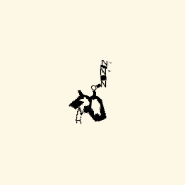 Cc1c[nH]c2cccc(ON=[N+]=[N-])c12